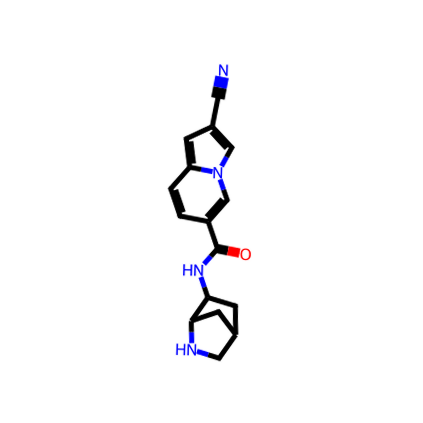 N#Cc1cc2ccc(C(=O)NC3CC4CNC3C4)cn2c1